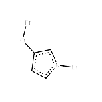 CCOc1ccn(CC)c1